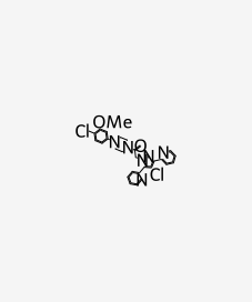 COc1cc(N2CCN(C(=O)Cn3nc(-c4ccccn4)c(Cl)c3-c3ccccn3)CC2)ccc1Cl